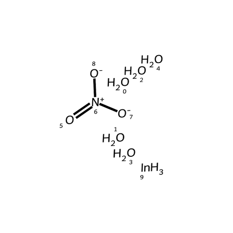 O.O.O.O.O.O=[N+]([O-])[O-].[InH3]